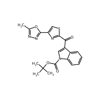 Cc1nnc(-c2csc(C(=O)c3cn(C(=O)OC(C)(C)C)c4ccccc34)n2)o1